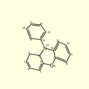 C1=CCC2C(=C1)Oc1ccccc1N2c1ccccc1